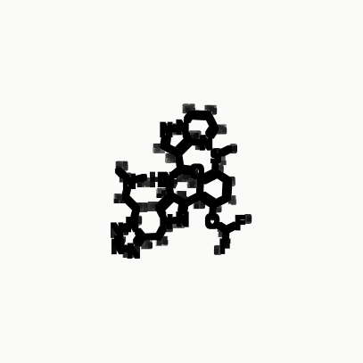 CSc1ccc(OC(F)F)c(-c2nn(Cc3nnnn3CCN(C)C)cc2NC(=O)c2cnn3cccnc23)c1